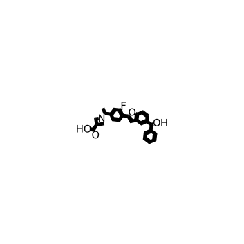 CC(c1ccc(-c2cc3cc(C(O)c4ccccc4)ccc3o2)c(F)c1)N1CC(C(=O)O)C1